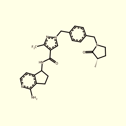 C[C@H]1CCN(Cc2ccc(Cn3cc(C(=O)NC4CCc5c4ccnc5N)c(C(F)(F)F)n3)cc2)C1=O